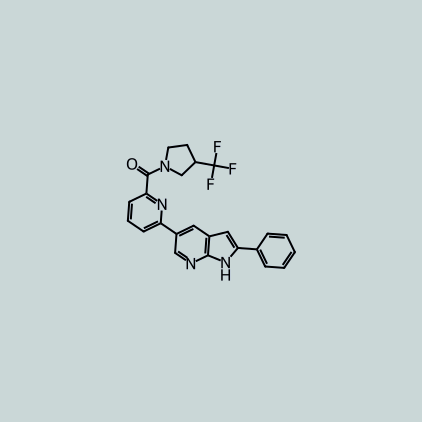 O=C(c1cccc(-c2cnc3[nH]c(-c4ccccc4)cc3c2)n1)N1CCC(C(F)(F)F)C1